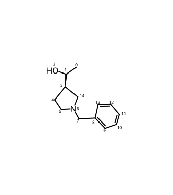 CC(O)[C@@H]1CCN(Cc2ccccc2)C1